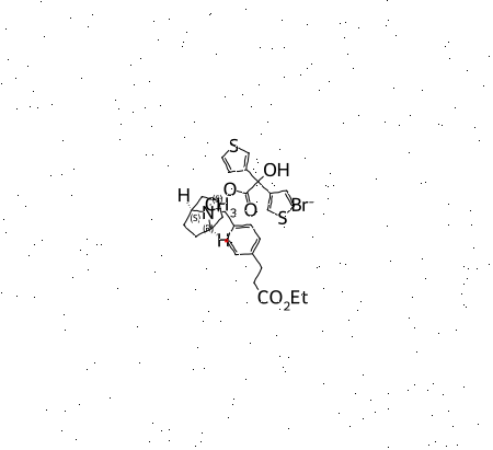 CCOC(=O)CCc1ccc(C[N+]2(C)[C@@H]3CC[C@H]2C[C@H](OC(=O)C(O)(c2ccsc2)c2ccsc2)C3)cc1.[Br-]